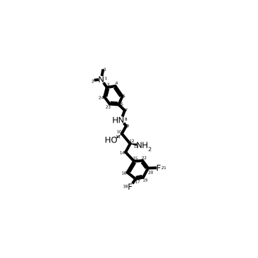 CN(C)c1ccc(CNC[C@@H](O)[C@@H](N)Cc2cc(F)cc(F)c2)cc1